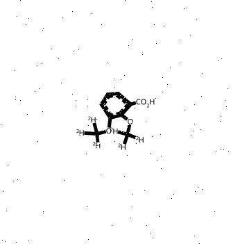 [2H]C([2H])([2H])Oc1cccc(C(=O)O)c1OC([2H])([2H])[2H]